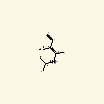 C=C/C(Br)=C(\C)NC(C)C